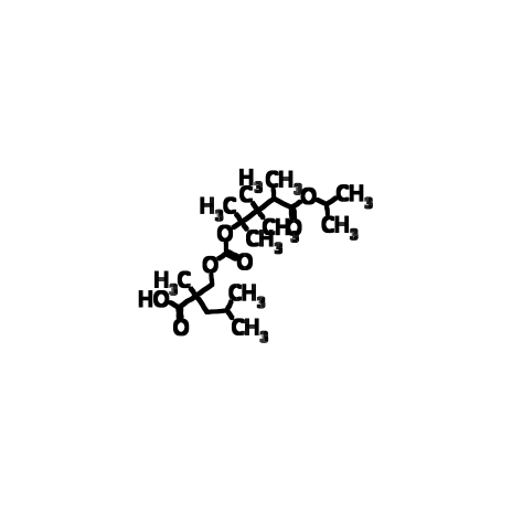 CC(C)CC(C)(COC(=O)OC(C)(C)C(C)(C)C(C)C(=O)OC(C)C)C(=O)O